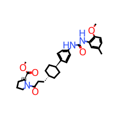 COC(=O)[C@@H]1CCCN1C(=O)CC[C@H]1CC[C@H](c2ccc(NC(=O)Nc3cc(C)ccc3OC)cc2)CC1